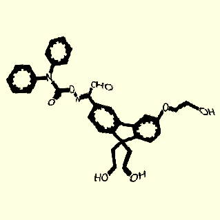 O=C/C(=N\OC(=O)N(c1ccccc1)c1ccccc1)c1ccc2c(c1)-c1cc(OCCO)ccc1C2(CCO)CCO